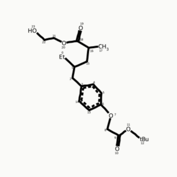 CCC(Cc1ccc(OCC(=O)OC(C)(C)C)cc1)CC(C)C(=O)OCCO